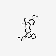 CN1CC2(CCCC2)c2cc(-c3ccc(O)cc3C(F)(F)F)ccc21